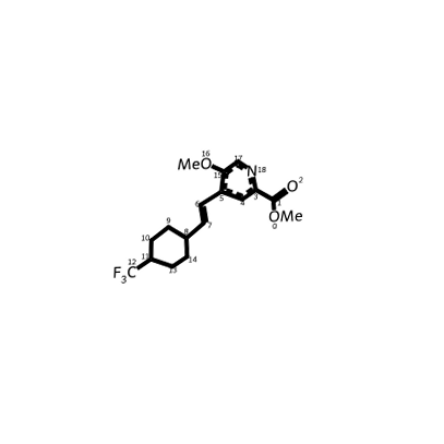 COC(=O)c1cc(/C=C/C2CCC(C(F)(F)F)CC2)c(OC)cn1